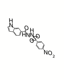 O=C(NNS(=O)(=O)c1ccc([N+](=O)[O-])cc1)c1ccc2cc[nH]c2c1